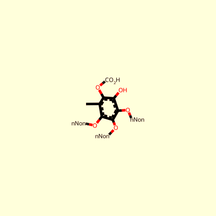 CCCCCCCCCOc1c(C)c(OC(=O)O)c(O)c(OCCCCCCCCC)c1OCCCCCCCCC